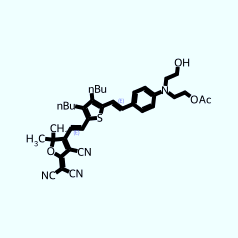 CCCCc1c(/C=C/C2=C(C#N)C(=C(C#N)C#N)OC2(C)C)sc(/C=C/c2ccc(N(CCO)CCOC(C)=O)cc2)c1CCCC